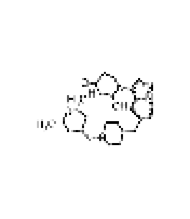 C[C@@H]1CC(CN2CCC(Cc3ccn4ncc(N5CCC(=O)NC5O)c4c3)CC2)C[C@H](C)O1